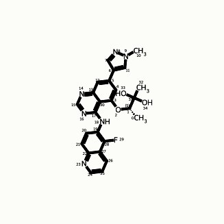 C[C@H](Oc1cc(-c2cnn(C)c2)cc2ncnc(Nc3ccc4ncccc4c3F)c12)C(C)(O)O